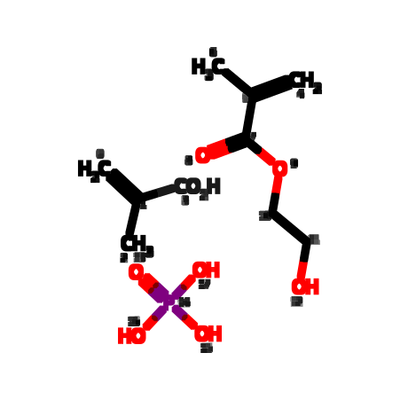 C=C(C)C(=O)O.C=C(C)C(=O)OCCO.O=P(O)(O)O